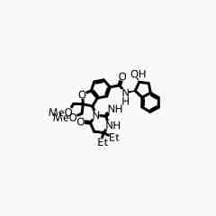 CCC1(CC)CC(=O)N(C2c3cc(C(=O)N[C@@H]4c5ccccc5C[C@H]4O)ccc3OC2(COC)COC)C(=N)N1